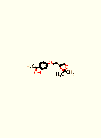 CC(O)c1ccc(OCC[C@H]2COC(C)(C)O2)cc1